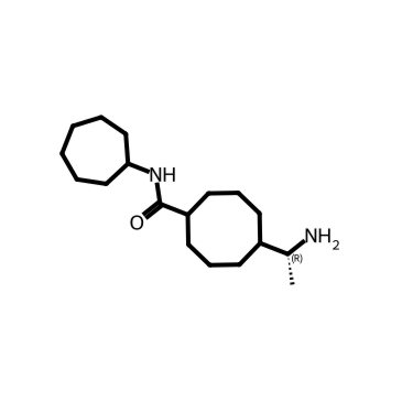 C[C@@H](N)C1CCCC(C(=O)NC2CCCCCC2)CCC1